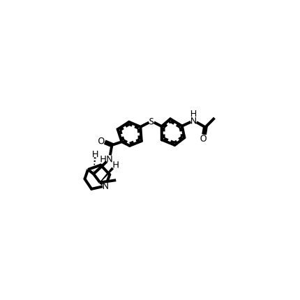 CC(=O)Nc1cccc(Sc2ccc(C(=O)N[C@@H]3C4CCN(CC4)[C@H]3C)cc2)c1